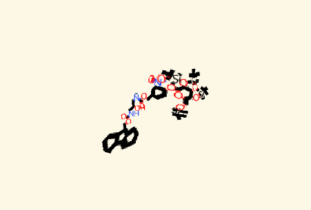 CN(CC(O)CNC(=O)OCC1c2ccccc2-c2ccccc21)C(=O)OCc1ccc(O[C@@H]2OC(CO[Si](C)(C)C(C)(C)C)[C@@H](O[Si](C)(C)C(C)(C)C)C(O[Si](C)(C)C(C)(C)C)[C@@H]2O[Si](C)(C)C(C)(C)C)c([N+](=O)[O-])c1